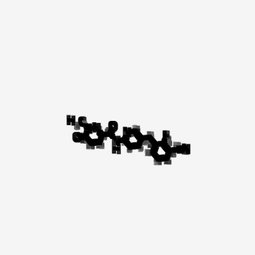 Cn1nc(C(=O)Nc2ccc(Cc3cccc(C#N)c3F)cn2)ccc1=O